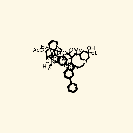 CC[C@]1(O)C[C@H]2CN(CCc3c([nH]c4ccc(-c5ccccc5)cc34)[C@@](C(=O)OC)(c3cc4c(cc3OC)N(C)[C@@]35O[C@]3(C(=O)OC)[C@H](OC(C)=O)[C@]3(CC)C=CCN6CC[C@]45[C@@H]63)C2)C1